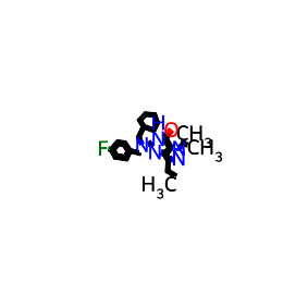 CCCc1nn(C(C)C)c2c(=O)[nH]c(N(Cc3ccc(F)cc3)CC3CCCCC3)nc12